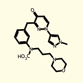 Cn1cc(-n2ccc(=O)c(Cc3cccc(N(CCCN4CCOCC4)C(=O)O)c3)n2)cn1